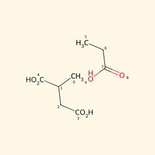 CC(CC(=O)O)C(=O)O.CCC(=O)O